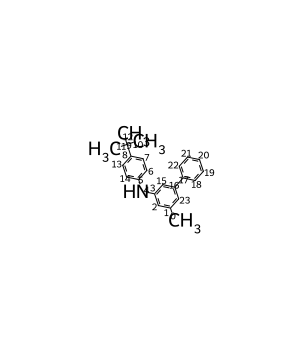 Cc1cc(Nc2ccc(C(C)(C)C)cc2)cc(-c2ccccc2)c1